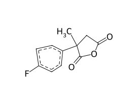 CC1(c2ccc(F)cc2)CC(=O)OC1=O